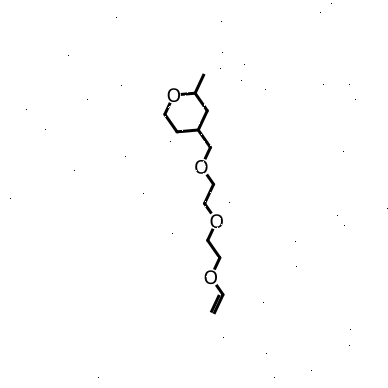 C=COCCOCCOCC1CCOC(C)C1